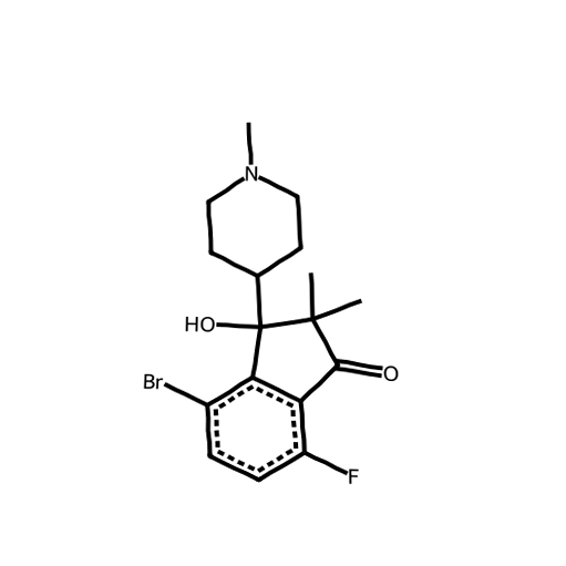 CN1CCC(C2(O)c3c(Br)ccc(F)c3C(=O)C2(C)C)CC1